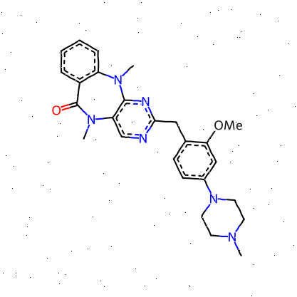 COc1cc(N2CCN(C)CC2)ccc1Cc1ncc2c(n1)N(C)c1ccccc1C(=O)N2C